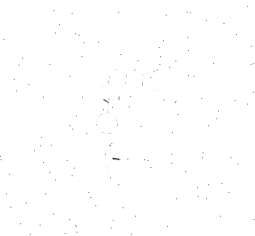 CSC1O[C@H]([C@H](NC(=O)C2CC[C@H](CCC(=O)NC(C)(C)C)CCN2)[C@H](C)Cl)C(O)C(O)[C@H]1O